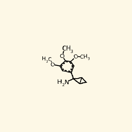 COc1cc(C2(N)C3CC32)cc(OC)c1OC